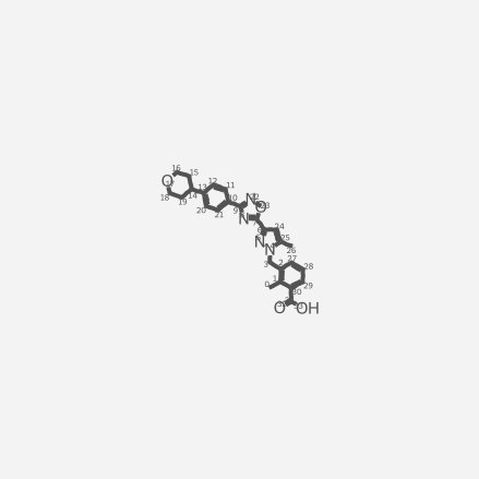 Cc1c(Cn2nc(-c3nc(-c4ccc(C5CCOCC5)cc4)no3)cc2C)cccc1C(=O)O